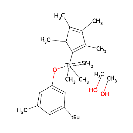 CC1=C(C)C(C)[C]([Ti]([CH3])([CH3])(=[SiH2])[O]c2cc(C)cc(C(C)(C)C)c2)=C1C.CO.CO